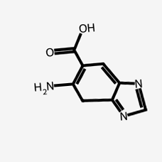 NC1=C(C(=O)O)C=C2N=CN=C2C1